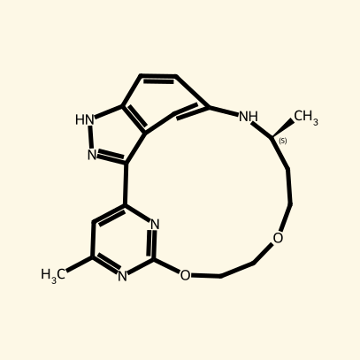 Cc1cc2nc(n1)OCCOCC[C@H](C)Nc1ccc3[nH]nc-2c3c1